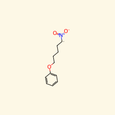 O=[N+]([O-])[CH]CCCCOc1ccccc1